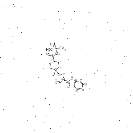 CC(C)(C)OC(=O)N1CCC2(CC1)CC2CN(C=O)c1cc2ccncc2o1